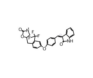 CN1CC(Cc2ccc(Oc3ccc(/C=C4\C(=O)Nc5ccccc54)cc3)cc2C(F)(F)F)OC1=O